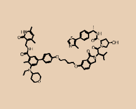 CCN(c1cc(-c2ccc(OCCCCOc3ccc4c(c3)C(=O)N(C(C(=O)N3C[C@H](O)C[C@H]3C(=O)N[C@@H](C)c3ccc(-c5scnc5C)cc3)C(C)C)C4)cc2)cc(C(=O)NCc2c(C)cc(C)[nH]c2=O)c1C)C1CCOCC1